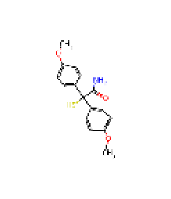 COc1ccc(C(S)(C(N)=O)c2ccc(OC)cc2)cc1